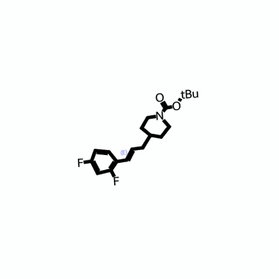 CC(C)(C)OC(=O)N1CCC(C/C=C/c2ccc(F)cc2F)CC1